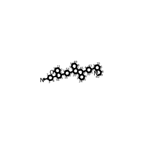 N#Cc1ccc2c(c1)Oc1cccc3c(-c4ccc(-c5cc6c7ccccc7c(-c7ccc(-c8cccc9cccnc89)cc7)cc6c6ccccc56)cc4)ccc-2c13